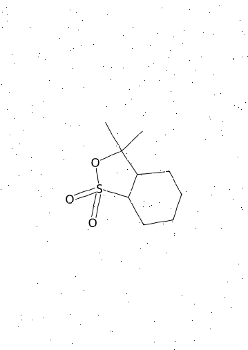 CC1(C)OS(=O)(=O)C2CCCCC21